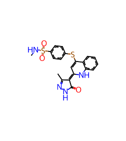 CNS(=O)(=O)c1ccc(SC2=CC(=C3C(=O)NN=C3C)Nc3ccccc32)cc1